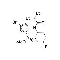 CCC(CC)C(=O)N(c1cc(Br)sc1C(=O)OC)C1CCC(F)CC1